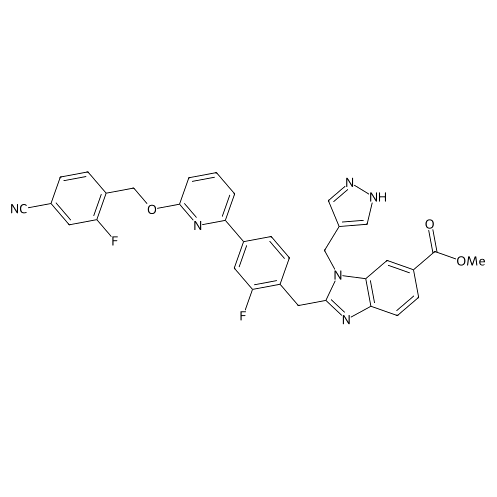 COC(=O)c1ccc2nc(Cc3ccc(-c4cccc(OCc5ccc(C#N)cc5F)n4)cc3F)n(Cc3cn[nH]c3)c2c1